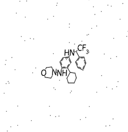 FC(F)(F)C(Nc1ccc(NN2CCOCC2)c(C2CCCCC2)c1)c1ccccc1